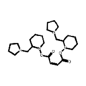 O=C(/C=C\C(=O)ON1CCCCC1CN1CCCC1)ON1CCCCC1CN1CCCC1